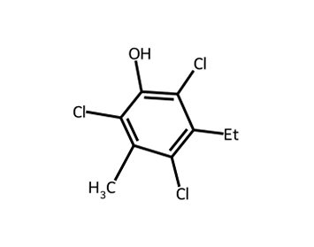 CCc1c(Cl)c(C)c(Cl)c(O)c1Cl